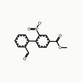 COC(=O)c1ccc(-c2ccccc2C=O)c([N+](=O)[O-])c1